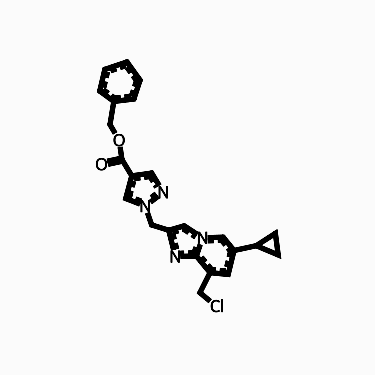 O=C(OCc1ccccc1)c1cnn(Cc2cn3cc(C4CC4)cc(CCl)c3n2)c1